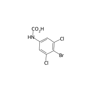 O=C(O)Nc1cc(Cl)c(Br)c(Cl)c1